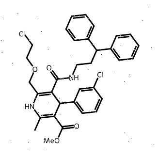 COC(=O)C1=C(C)NC(COCCCl)=C(C(=O)NCCC(c2ccccc2)c2ccccc2)C1c1cccc(Cl)c1